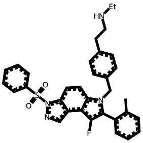 CCNCCc1ccc(Cn2c(-c3ccccc3C)c(F)c3c4cnn(S(=O)(=O)c5ccccc5)c4ccc32)cc1